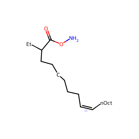 CCCCCCCC/C=C\CCCCCCC(CC)C(=O)ON